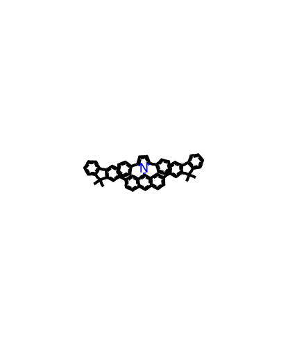 CC1(C)c2ccccc2-c2ccc(-c3ccc4cc5ccc(-c6ccc7c(c6)C(C)(C)c6ccccc6-7)cc5c(-n5c(-c6ccccc6)ccc5-c5ccccc5)c4c3)cc21